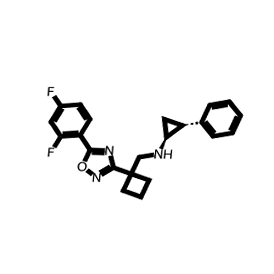 Fc1ccc(-c2nc(C3(CN[C@H]4C[C@@H]4c4ccccc4)CCC3)no2)c(F)c1